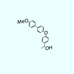 COc1ccc(-c2ccc(Oc3ccc(C(C)O)cc3)cc2)cc1